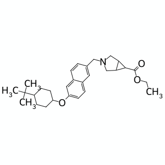 CCOC(=O)C1C2CN(Cc3ccc4cc(OC5CCC(C(C)(C)C)CC5)ccc4c3)CC21